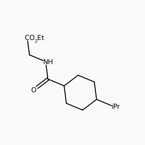 CCOC(=O)CNC(=O)C1CCC(C(C)C)CC1